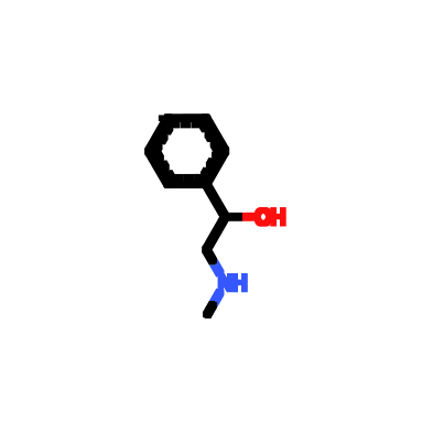 CNCC(O)c1cc[c]cc1